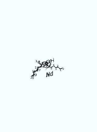 CCCCCCC(C)OP(=O)(O)OC(C)CCCCCC.[Nd]